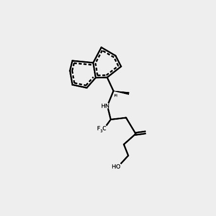 C=C(CCO)CC(N[C@H](C)c1cccc2ccccc12)C(F)(F)F